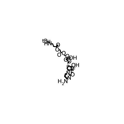 CC(C)(C)NCCC(=O)OCC(=O)OCOP(=O)(O)OC[C@H]1C[C@@H](n2ccc(N)nc2=O)C(F)(F)[C@@H]1O